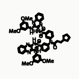 COc1cc(Nc2nc3ccccc3nc2NS(=O)(=O)c2cccc(N(C(=O)CCC3CCCC3)c3cccc(S(=O)(=O)Nc4nc5ccccc5nc4Nc4cc(OC)cc(OC)c4)c3)c2)cc(OC)c1